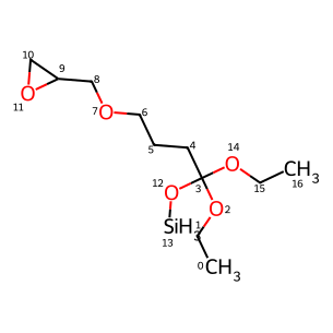 CCOC(CCCOCC1CO1)(O[SiH3])OCC